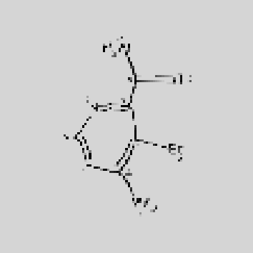 CCc1c(N)ccnc1C(N)=O